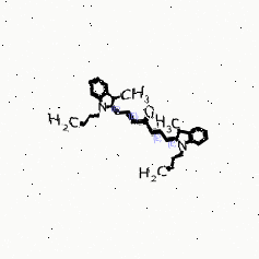 C=CCCN1/C(=C/C=C/C(=O)/C=C/C=C2\C(C)c3ccccc3N2CCC=C)C(C)c2ccccc21